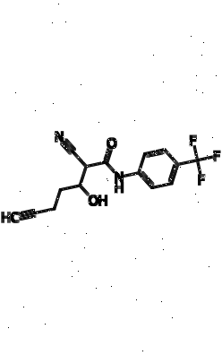 C#CCCC(O)C(C#N)C(=O)Nc1ccc(C(F)(F)F)cc1